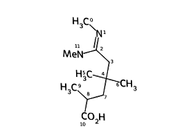 C/N=C(/CC(C)(C)CC(C)C(=O)O)NC